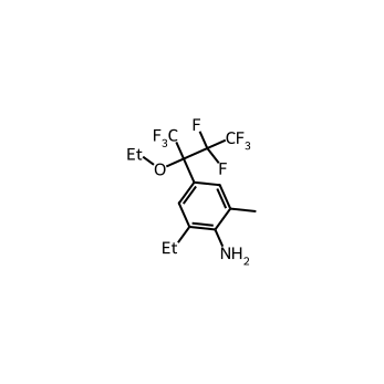 CCOC(c1cc(C)c(N)c(CC)c1)(C(F)(F)F)C(F)(F)C(F)(F)F